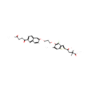 COC(=O)CCC(=O)c1ccc2cc(OCCCOc3c(OC)cc4sc(C(=O)CC(C)(C)C(=O)OC)cc4c3F)ccc2c1